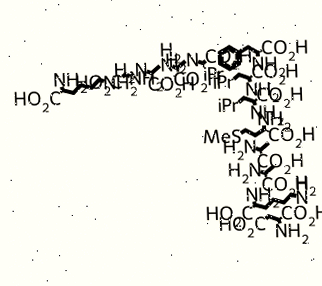 CC(C)C[C@H](N)C(=O)O.CC(C)C[C@H](N)C(=O)O.CC(C)[C@H](N)C(=O)O.CSCC[C@H](N)C(=O)O.C[C@H](N)C(=O)O.C[C@H](N)C(=O)O.C[C@H](N)C(=O)O.C[C@H](N)C(=O)O.NCC(=O)O.NCCCC[C@H](N)C(=O)O.NCCCC[C@H](N)C(=O)O.N[C@@H](CC(=O)O)C(=O)O.N[C@@H](Cc1ccccc1)C(=O)O